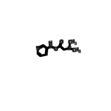 CN(C)CC(=O)ONc1cccnc1